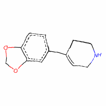 C1=C(c2ccc3c(c2)OCO3)CCNC1